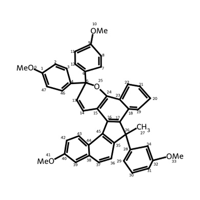 COc1ccc(C2(c3ccc(OC)cc3)C=Cc3c4c(c5ccccc5c3O2)C(C)(c2cccc(OC)c2)c2ccc3cc(OC)ccc3c2-4)cc1